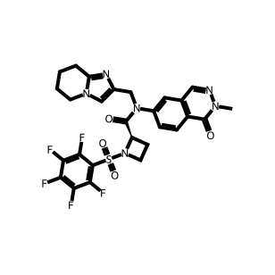 Cn1ncc2cc(N(Cc3cn4c(n3)CCCC4)C(=O)[C@H]3CCN3S(=O)(=O)c3c(F)c(F)c(F)c(F)c3F)ccc2c1=O